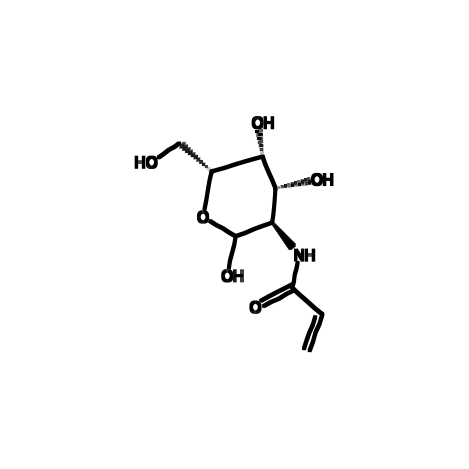 C=CC(=O)N[C@H]1C(O)O[C@H](CO)[C@H](O)[C@@H]1O